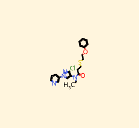 CCN(C(=O)CCSCCOc1ccccc1)c1cn(-c2cccnc2)nc1Cl